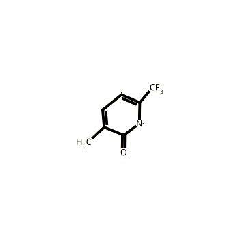 CC1=C[C]=C(C(F)(F)F)[N]C1=O